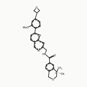 COc1cc(C2COC2)ccc1-c1ccc2cnc(CNC(=O)c3ccc4c(c3)[C@](C)(C#N)COC4)cc2n1